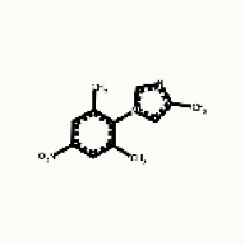 Cc1cc([N+](=O)[O-])cc(C)c1-n1cnc(C(F)(F)F)c1